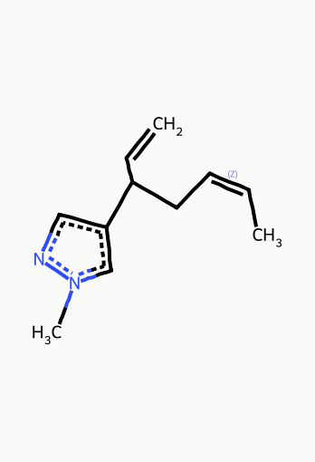 C=CC(C/C=C\C)c1cnn(C)c1